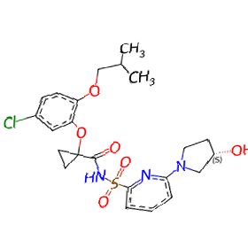 CC(C)COc1ccc(Cl)cc1OC1(C(=O)NS(=O)(=O)c2cccc(N3CC[C@H](O)C3)n2)CC1